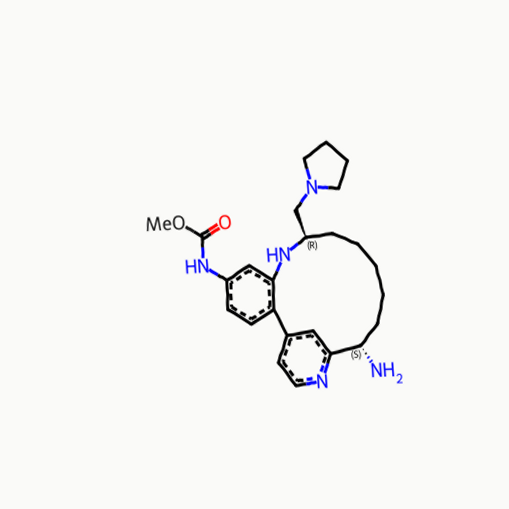 COC(=O)Nc1ccc2c(c1)N[C@@H](CN1CCCC1)CCCCC[C@H](N)c1cc-2ccn1